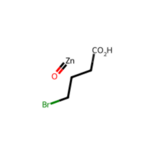 O=C(O)CCCBr.[O]=[Zn]